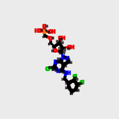 O=P(O)(O)COC[C@H]1O[C@@H](n2ncc3c(NCc4cccc(Cl)c4Cl)nc(Cl)nc32)[C@H](O)[C@@H]1O